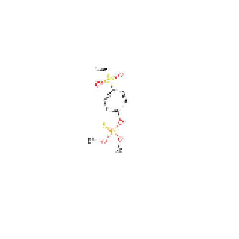 C=CS(=O)(=O)c1ccc(OP(=S)(OCC)OCC)cc1